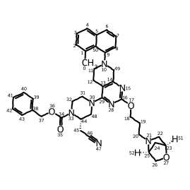 Cc1cccc2cccc(N3CCc4c(nc(OCCCN5C[C@@H]6C[C@H]5CO6)nc4N4CCN(C(=O)OCc5ccccc5)[C@@H](CC#N)C4)C3)c12